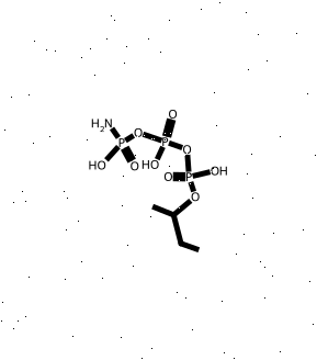 CCC(C)OP(=O)(O)OP(=O)(O)OP(N)(=O)O